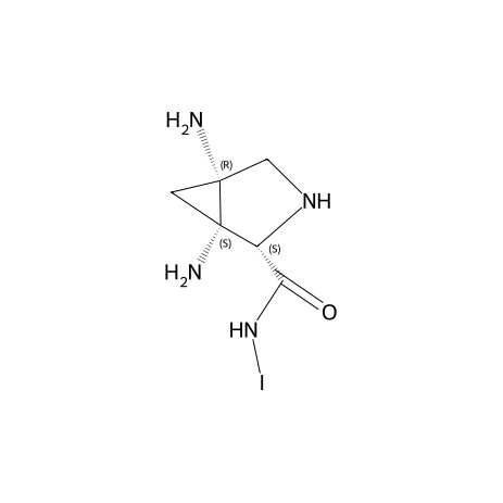 N[C@]12CN[C@H](C(=O)NI)[C@@]1(N)C2